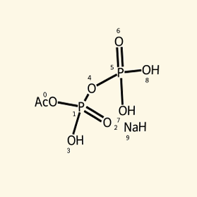 CC(=O)OP(=O)(O)OP(=O)(O)O.[NaH]